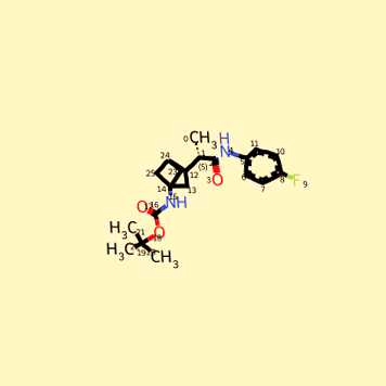 C[C@H](C(=O)Nc1ccc(F)cc1)C1CC2(NC(=O)OC(C)(C)C)CC1C2